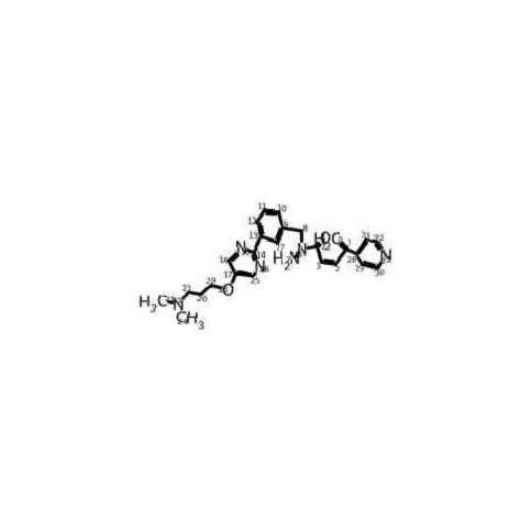 C=C(/C=C\C(=O)N(N)Cc1cccc(-c2ncc(OCCCN(C)C)cn2)c1)c1ccncc1